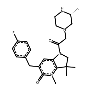 C[C@@H]1CN(CC(=O)N2CC(C)(C)c3c2cc(Cc2ccc(F)cc2)c(=O)n3C)CCN1